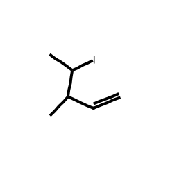 C=CC(C)C(C)I